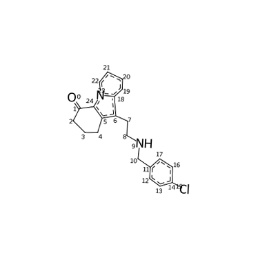 O=C1CCCc2c(CCNCc3ccc(Cl)cc3)c3ccccn3c21